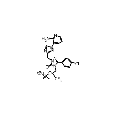 CC(C)(C)[Si](C)(C)OC(Cn1c(-c2ccc(Cl)cc2)nn(Cc2ncn(-c3cccnc3N)n2)c1=O)C(F)(F)F